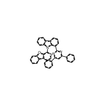 c1ccc(-c2cc(-c3ccccc3)nc(-c3cccc4c5ccccc5n(-c5nccc6c5oc5ccccc56)c34)n2)cc1